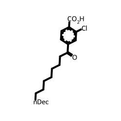 CCCCCCCCCCCCCCCCCC(=O)c1ccc(C(=O)O)c(Cl)c1